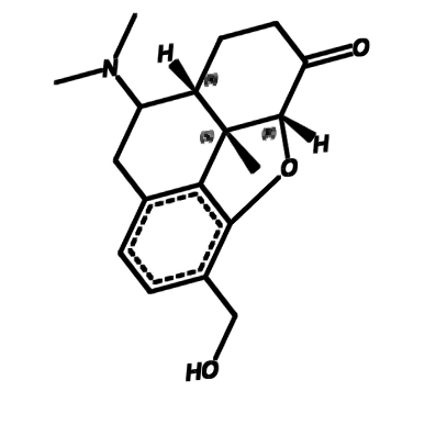 CN(C)C1Cc2ccc(CO)c3c2[C@@]2(C)[C@@H](O3)C(=O)CC[C@@H]12